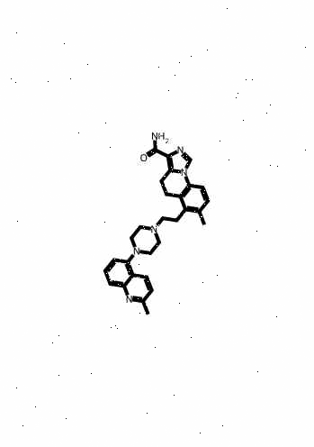 Cc1ccc2c(N3CCN(CCc4c(C)ccc5c4CCc4c(C(N)=O)ncn4-5)CC3)cccc2n1